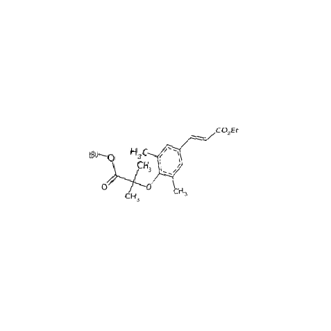 CCOC(=O)/C=C/c1cc(C)c(OC(C)(C)C(=O)OC(C)(C)C)c(C)c1